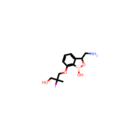 CC(I)(CO)COc1cccc2c1B(O)OC2CN